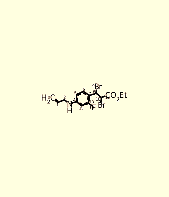 C=CCNc1ccc(C(Br)C(Br)C(=O)OCC)c(F)c1